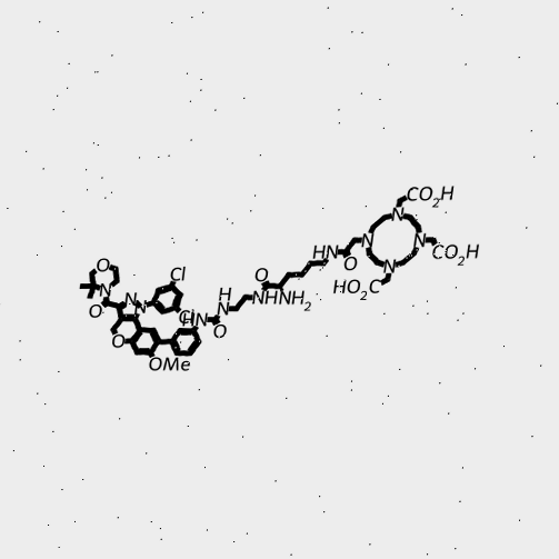 COc1cc2c(cc1-c1cccc(NC(=O)NCCNC(=O)[C@H](N)CCCCNC(=O)CN3CCN(CC(=O)O)CCN(CC(=O)O)CCN(CC(=O)O)CC3)c1)-c1c(c(C(=O)N3CCOCC3(C)C)nn1-c1cc(Cl)cc(Cl)c1)CO2